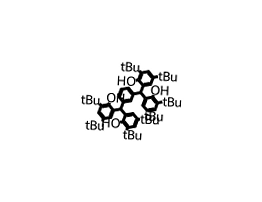 CC(C)(C)c1cc(C(c2cccc(C(c3cc(C(C)(C)C)cc(C(C)(C)C)c3O)c3cc(C(C)(C)C)cc(C(C)(C)C)c3O)c2)c2cc(C(C)(C)C)cc(C(C)(C)C)c2O)c(O)c(C(C)(C)C)c1